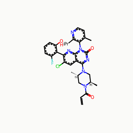 C=CC(=O)N1C[C@H](C)N(c2nc(=O)n(-c3c(C)ccnc3C(C)C)c3nc(-c4c(O)cccc4F)c(Cl)cc23)C[C@H]1C